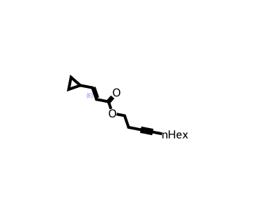 CCCCCCC#CCCOC(=O)/C=C/C1CC1